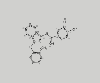 Cc1ccccc1Cc1cn(C[C@H](O)c2ccc(Cl)c(Cl)c2)c2ccccc12